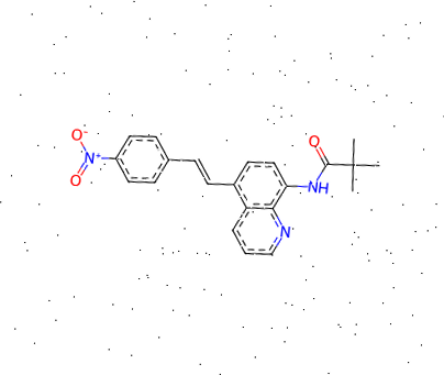 CC(C)(C)C(=O)Nc1ccc(C=Cc2ccc([N+](=O)[O-])cc2)c2cccnc12